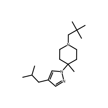 CC(C)Cc1cnn(C2(C)CCN(CC(C)(C)C)CC2)c1